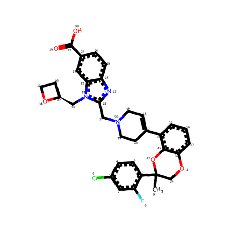 CC1(c2ccc(Cl)cc2F)COc2cccc(C3=CCN(Cc4nc5ccc(C(=O)O)cc5n4C[C@@H]4CCO4)CC3)c2O1